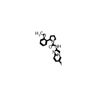 COc1ccccc1C1CCCN1C(=O)Nc1cn2cc(I)ccc2n1